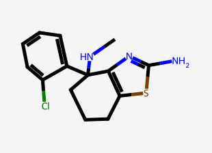 CNC1(c2ccccc2Cl)CCCc2sc(N)nc21